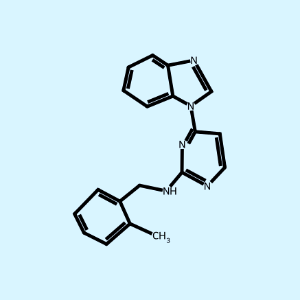 Cc1ccccc1CNc1nccc(-n2cnc3ccccc32)n1